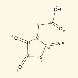 O=C(O)CN1C(=O)C(=O)SC1=S